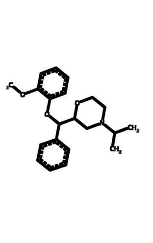 COc1ccccc1OC(c1ccccc1)C1CN(C(C)C)CCO1